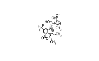 CCCN(CCC)c1c([N+](=O)[O-])cc(C(F)(F)F)cc1[N+](=O)[O-].Cc1ncc([N+](=O)[O-])n1CCO